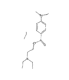 CCN(CC)CCOC(=O)c1ccc(N(C)C)cc1.CI